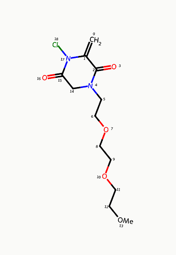 C=C1C(=O)N(CCOCCOCCOC)CC(=O)N1Cl